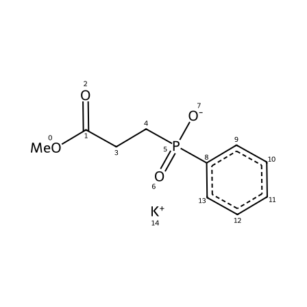 COC(=O)CCP(=O)([O-])c1ccccc1.[K+]